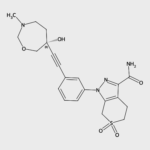 CN1CC[C@@](O)(C#Cc2cccc(-n3nc(C(N)=O)c4c3CS(=O)(=O)CC4)c2)COC1